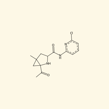 CC(=O)C12CC1(C)CC(C(=O)Nc1cccc(Cl)n1)N2